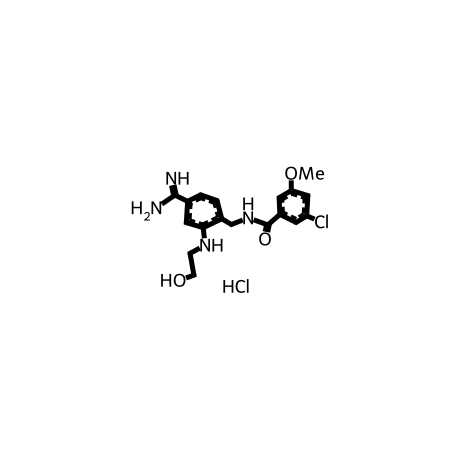 COc1cc(Cl)cc(C(=O)NCc2ccc(C(=N)N)cc2NCCO)c1.Cl